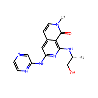 CC[C@H](CO)Nc1nc(Nc2cnccn2)cc2ccn(CC)c(=O)c12